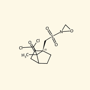 CC1(C(Cl)Cl)C2CC[C@@]1(CS(=O)(=O)N1CO1)C(=O)C2